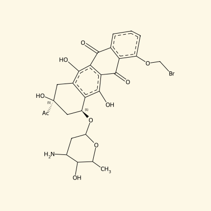 CC(=O)[C@]1(O)Cc2c(O)c3c(c(O)c2[C@@H](OC2CC(N)C(O)C(C)O2)C1)C(=O)c1c(OCBr)cccc1C3=O